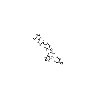 NC(=S)N1CCN(c2ccc(OC(CCc3ccc(Cl)cc3)Cn3ccnc3)cc2)CC1